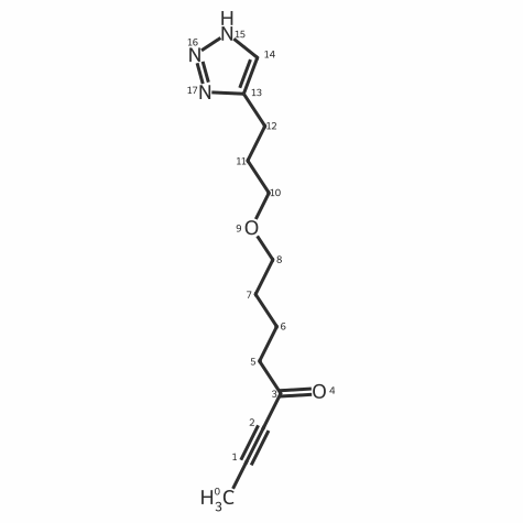 CC#CC(=O)CCCCOCCCc1c[nH]nn1